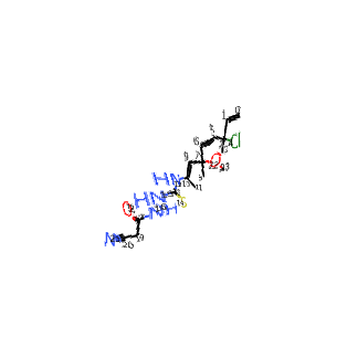 C=CC(C)(Cl)/C=C\C(C)(/C=C(\C)NC(=S)NNC(=O)CC#N)OC